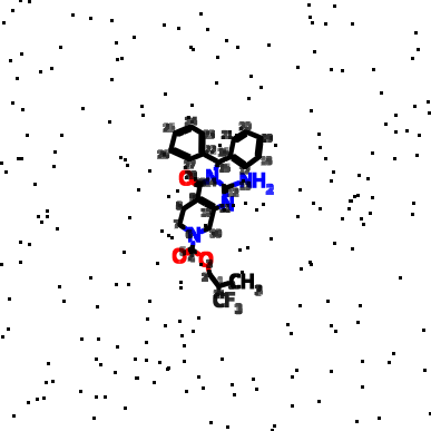 CC(COC(=O)N1CCc2c(nc(N)n(C(c3ccccc3)c3ccccc3)c2=O)C1)C(F)(F)F